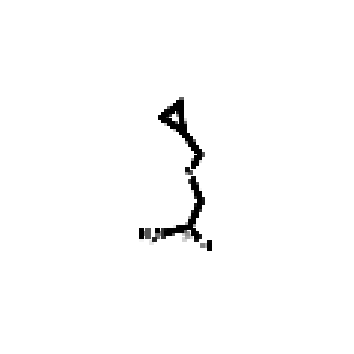 CC[C@@H](N)CSCC1CC1